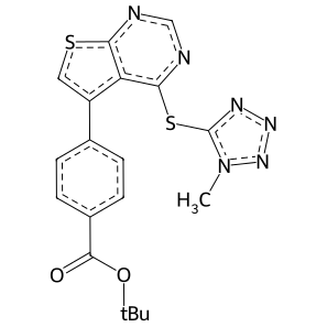 Cn1nnnc1Sc1ncnc2scc(-c3ccc(C(=O)OC(C)(C)C)cc3)c12